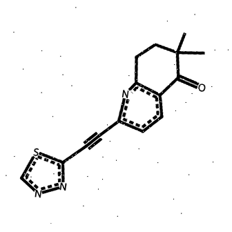 CC1(C)CCc2nc(C#Cc3nncs3)ccc2C1=O